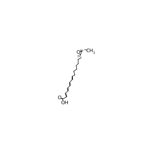 CC[C@H]1O[C@H]1CCCCCCCC=CC=CC=CC=CC(=O)O